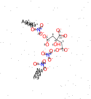 O=C([O-])CC(O)(CC(=O)[O-])C(=O)[O-].O=[N+]([O-])[O-].O=[N+]([O-])[O-].O=[N+]([O-])[O-].[Ag+].[Ag+].[Ag+].[Na+].[Na+].[Na+]